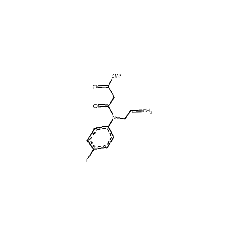 C=CCN(C(=O)CC(=O)OC)c1ccc(F)cc1